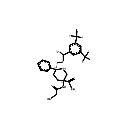 CC(OC[C@@]1(c2ccccc2)CC[C@@](NC(=O)CO)(C(N)=O)CN1)c1cc(C(F)(F)F)cc(C(F)(F)F)c1